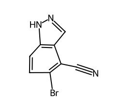 N#Cc1c(Br)ccc2[nH]ncc12